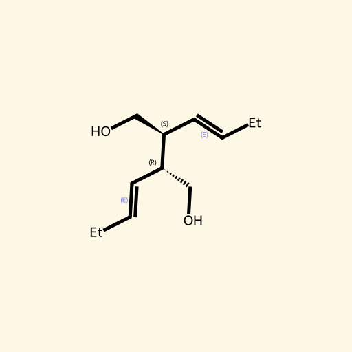 CC/C=C/[C@H](CO)[C@@H](/C=C/CC)CO